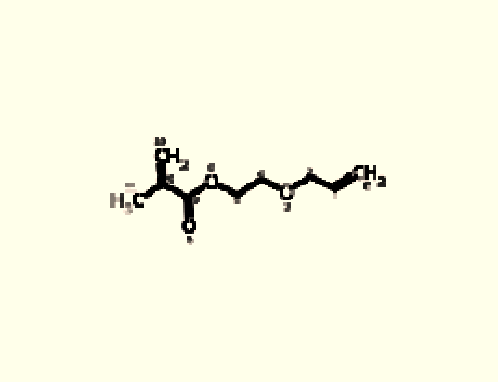 C=CCOCCOC(=O)C(=C)C